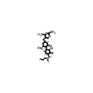 CCOc1cc(Cc2cnc(N)nc2N)cc(OCC)c1-c1ccc(CN(C)CCF)c(F)c1